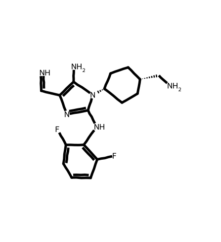 N=Cc1nc(Nc2c(F)cccc2F)n([C@H]2CC[C@@H](CN)CC2)c1N